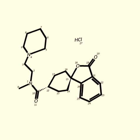 CN(CCN1CCCCC1)C(=O)[C@H]1CC[C@@]2(CC1)OC(=O)c1ccccc12.Cl